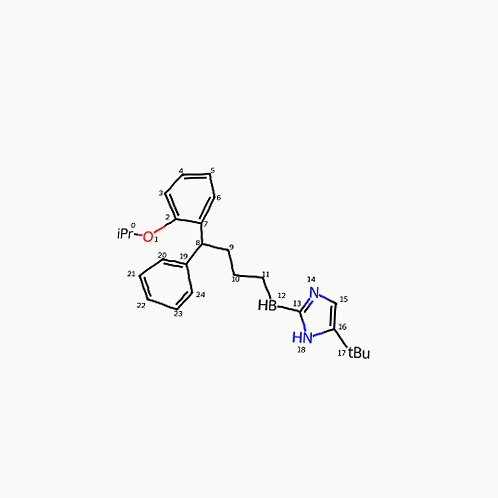 CC(C)Oc1ccccc1C(CCCBc1ncc(C(C)(C)C)[nH]1)c1ccccc1